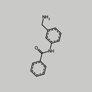 NCc1cccc(NC(=O)c2ccccc2)c1